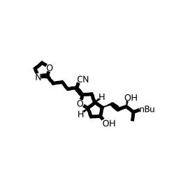 CCCCC(C)[C@H](O)C=C[C@H]1C(O)C[C@@H]2OC(=C(C#N)CCCC3=NCCO3)C[C@@H]21